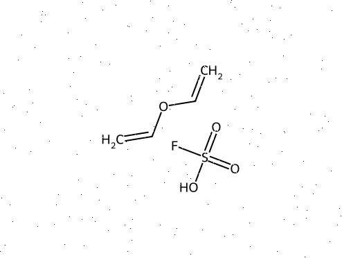 C=COC=C.O=S(=O)(O)F